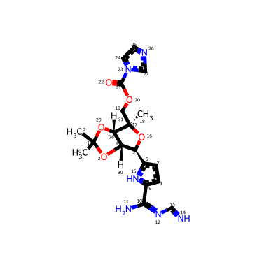 CC1(C)O[C@H]2[C@H](c3ccc(/C(N)=N\C=N)[nH]3)O[C@](C)(COC(=O)n3ccnc3)[C@H]2O1